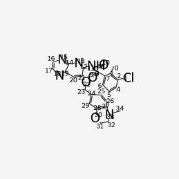 Cc1c(Cl)cccc1S(=O)(=O)Nc1nc2nccnc2cc1OCc1ccc2c(c1)OCCN2C